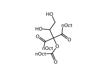 CCCCCCCCC(=O)OC(C(=O)CCCCCCCC)(C(=O)CCCCCCCC)C(O)CO